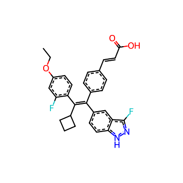 CCOc1ccc(/C(=C(\c2ccc(/C=C/C(=O)O)cc2)c2ccc3[nH]nc(F)c3c2)C2CCC2)c(F)c1